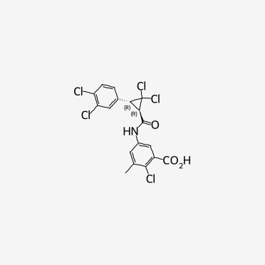 Cc1cc(NC(=O)[C@H]2[C@H](c3ccc(Cl)c(Cl)c3)C2(Cl)Cl)cc(C(=O)O)c1Cl